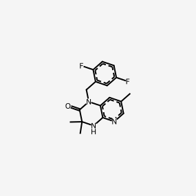 Cc1cnc2c(c1)N(Cc1cc(F)ccc1F)C(=O)C(C)(C)N2